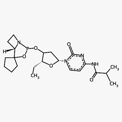 CC[C@H]1O[C@@H](n2ccc(NC(=O)C(C)C)nc2=O)CC1OP1OC2(CCCC2)[C@@H]2CCN21